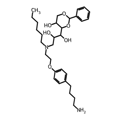 CCCCCCN(CCOc1ccc(CCCCN)cc1)CC(O)C(O)C1OC(c2ccccc2)OCC1O